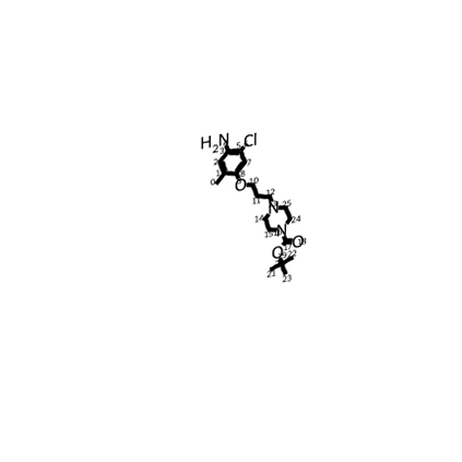 Cc1cc(N)c(Cl)cc1OCCCN1CCN(C(=O)OC(C)(C)C)CC1